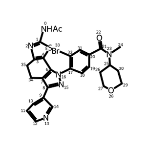 CC(=O)Nc1nc2c(s1)-c1c(c(-c3cccnc3)nn1-c1ccc(C(=O)N(C)C3CCOCC3)cc1Br)CC2